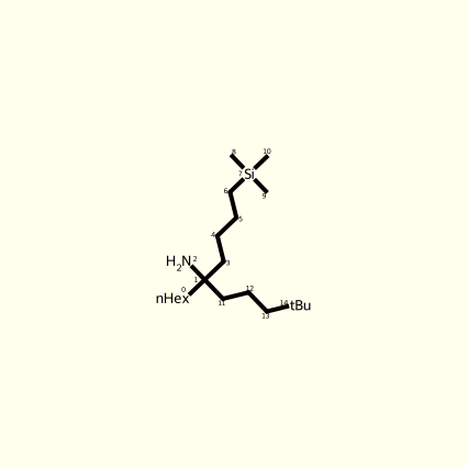 CCCCCCC(N)(CCCC[Si](C)(C)C)CCCC(C)(C)C